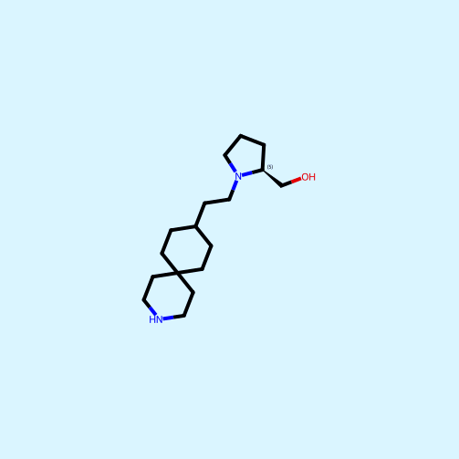 OC[C@@H]1CCCN1CCC1CCC2(CCNCC2)CC1